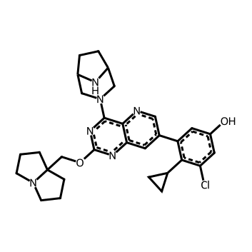 Oc1cc(Cl)c(C2CC2)c(-c2cnc3c(N4CC5CCC(C4)N5)nc(OCC45CCCN4CCC5)nc3c2)c1